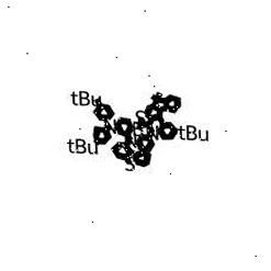 CC(C)(C)c1ccc(N(c2ccc(C(C)(C)C)cc2)c2ccc3c(c2)N(c2cccc4sc5ccccc5c24)c2cccc4c2B3c2sc3cc5c(c6c3c2N4c2ccc(C(C)(C)C)cc2-6)-c2ccccc2C5(C)C)cc1